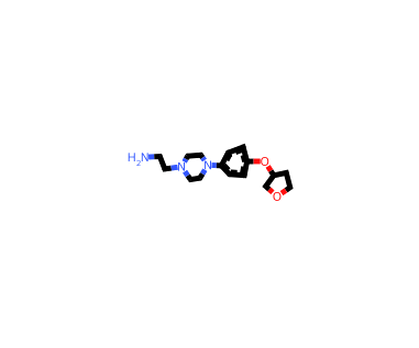 NCCN1CCN(c2ccc(OC3CCOC3)cc2)CC1